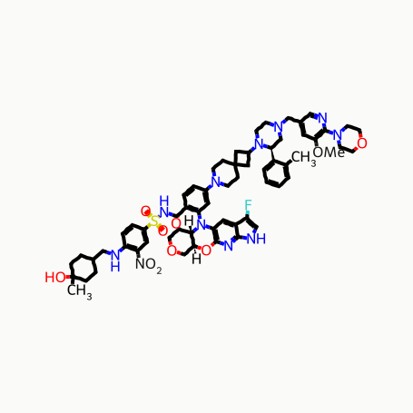 COc1cc(CN2CCN(C3CC4(CCN(c5ccc(C(=O)NS(=O)(=O)c6ccc(NCC7CCC(C)(O)CC7)c([N+](=O)[O-])c6)c(N6c7cc8c(F)c[nH]c8nc7O[C@H]7COCC[C@@H]76)c5)CC4)C3)[C@H](c3ccccc3C)C2)cnc1N1CCOCC1